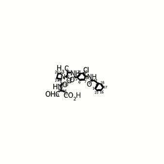 C[C@H](NC(=O)c1ccc(NC(=O)Cc2ccccc2)c(Cl)c1)C(=O)N1CCC[C@H]1C(=O)N[C@H](C=O)CC(=O)O